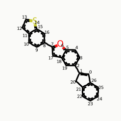 C1=C(c2ccc3oc(-c4ccc5ccsc5c4)cc3c2)Cc2ccccc21